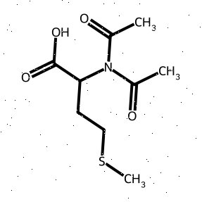 CSCCC(C(=O)O)N(C(C)=O)C(C)=O